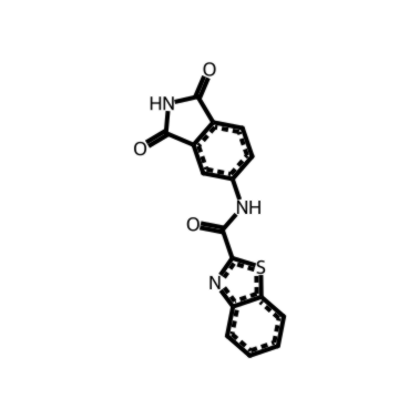 O=C(Nc1ccc2c(c1)C(=O)NC2=O)c1nc2ccccc2s1